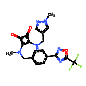 CN(Cc1ccc(-c2noc(C(F)(F)F)n2)cc1)c1c(NCc2cnn(C)c2)c(=O)c1=O